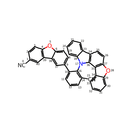 N#Cc1ccc2oc3ccc(-c4cccc(C#N)c4-n4c5ccccc5c5ccc6oc7ccccc7c6c54)cc3c2c1